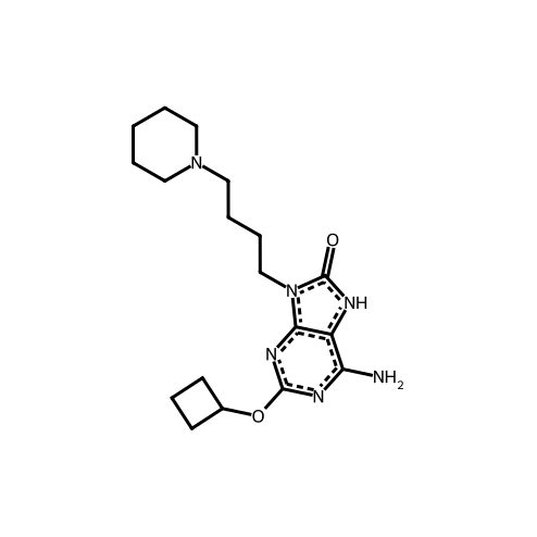 Nc1nc(OC2CCC2)nc2c1[nH]c(=O)n2CCCCN1CCCCC1